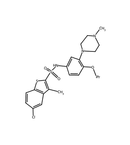 Cc1c(S(=O)(=O)Nc2ccc(OC(C)C)c(N3CCN(C)CC3)c2)sc2ccc(Cl)cc12